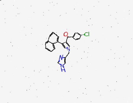 O=C(c1ccc(Cl)cc1)c1cn(Cc2c[nH]cn2)cc1-c1cccc2ccccc12